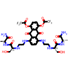 C[C@H](NC(=O)[C@H](CO)NCCNc1ccc(NCCN[C@@H](CO)C(=O)N[C@@H](C)C(N)=O)c2c1C(=O)c1c(OC(=O)C(F)(F)F)ccc(OC(=O)C(F)(F)F)c1C2=O)C(N)=O